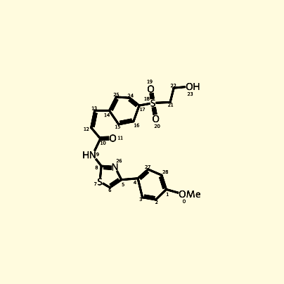 COc1ccc(-c2csc(NC(=O)/C=C\c3ccc(S(=O)(=O)CCO)cc3)n2)cc1